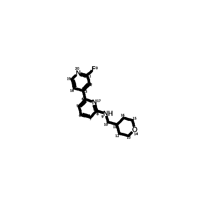 Fc1cc(-c2cccc(NCC3CCOCC3)n2)ccn1